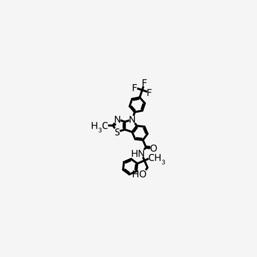 Cc1nc2c(s1)c1cc(C(=O)NC(C)(CO)c3ccccc3)ccc1n2-c1ccc(C(F)(F)F)cc1